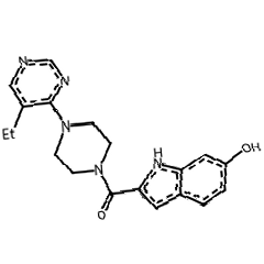 CCc1cncnc1N1CCN(C(=O)c2cc3ccc(O)cc3[nH]2)CC1